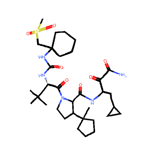 CC1(C2CCN(C(=O)[C@@H](NC(=O)NC3(CS(C)(=O)=O)CCCCC3)C(C)(C)C)C2C(=O)NC(CC2CC2)C(=O)C(N)=O)CCCC1